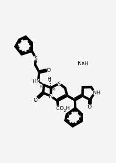 O=C(CSc1ccccc1)N[C@@H]1C(=O)N2C(C(=O)O)=C(C(=C3CCNC3=O)c3ccccc3)CS[C@H]12.[NaH]